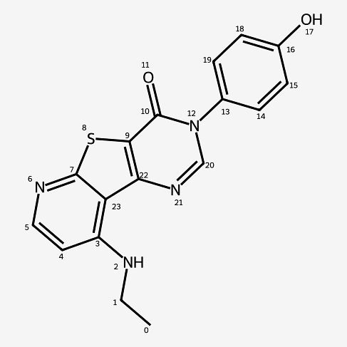 CCNc1ccnc2sc3c(=O)n(-c4ccc(O)cc4)cnc3c12